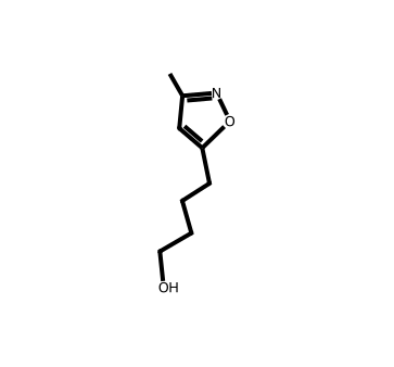 Cc1cc(CCCCO)on1